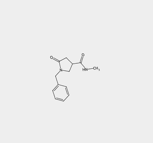 CNC(=O)C1CC(=O)N(Cc2ccccc2)C1